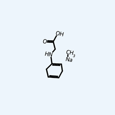 O=C(O)CNC1=CCC=CC1.[CH3][Na]